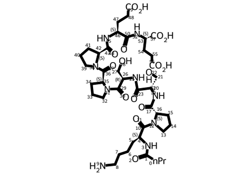 CCCC(=O)N[C@@H](CCCCN)C(=O)N1CCC[C@H]1C(=O)N[C@@H](CO)C(=O)N[C@H](CO)C(=O)N1CCC[C@H]1C(=O)N1CCC[C@H]1C(=O)N[C@@H](CCC(=O)O)C(=O)N[C@@H](CCC(=O)O)C(=O)O